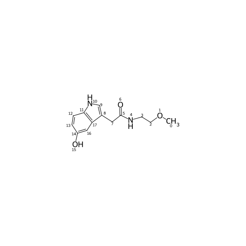 COCCNC(=O)Cc1c[nH]c2ccc(O)cc12